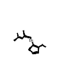 CCC1=[C]([Ru]/[CH]=C(/C)C=C(C)C)CC=C1